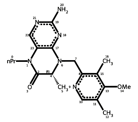 CCCN1C(=O)[C@@H](C)N(Cc2ncc(C)c(OC)c2C)c2nc(N)ncc21